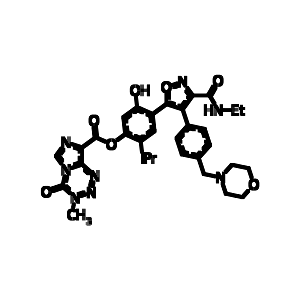 CCNC(=O)c1noc(-c2cc(C(C)C)c(OC(=O)c3ncn4c(=O)n(C)nnc34)cc2O)c1-c1ccc(CN2CCOCC2)cc1